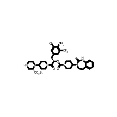 CCOC(=O)[C@@H]1CNCCN1C1CCN(C(=O)[C@@H](Cc2cc(Cl)c(N)c(C(F)(F)F)c2)OC(=O)N2CCC(N3CCc4ccccc4NC3=O)CC2)CC1